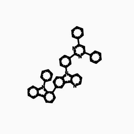 c1ccc(-c2cc(-c3ccccc3)nc(-c3cccc(-n4c5ccc(-c6cccc7c8ccccc8n(-c8ccccc8)c67)cc5c5ncccc54)c3)n2)cc1